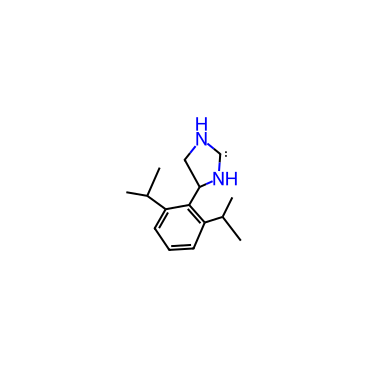 CC(C)c1cccc(C(C)C)c1C1CN[C]N1